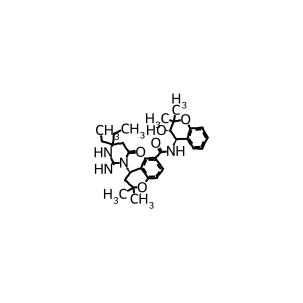 CCC1(CC)CC(=O)N([C@@H]2CC(C)(C)Oc3ccc(C(=O)N[C@@H]4c5ccccc5OC(C)(C)[C@H]4O)cc32)C(=N)N1